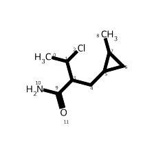 CC(Cl)C(CC1CC1C)C(N)=O